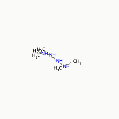 CCCCCNC(C)CCNCCCNCCC(C)NC(C)C